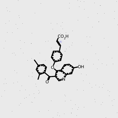 Cc1ccc(C(=O)c2cnc3cc(O)ccc3c2Oc2ccc(/C=C/C(=O)O)cc2)c(C)c1